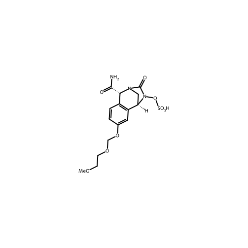 COCCOCOc1ccc2c(c1)[C@H]1CN(C(=O)N1OS(=O)(=O)O)[C@H]2C(N)=O